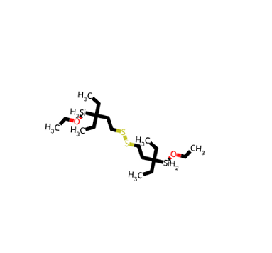 CCO[SiH2]C(CC)(CC)CCSSCCC(CC)(CC)[SiH2]OCC